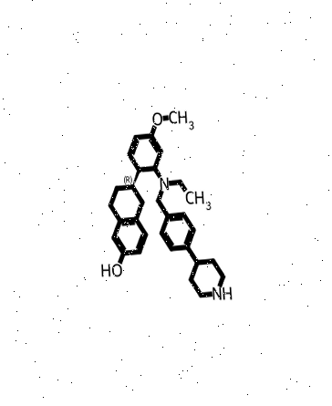 CCN(Cc1ccc(C2CCNCC2)cc1)C1C=C(OC)C=CC1[C@@H]1CCc2cc(O)ccc2C1